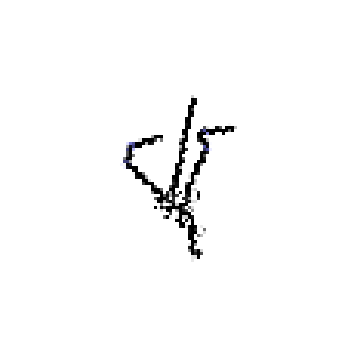 CCCCC/C=C\C/C=C\CCCCCCCC(=O)Nc1sc2c(c1C(=O)N(CCCCCCCCCCCCCCCCCC)C(=O)CCCCCCC/C=C\C/C=C\CCCCC)CCN(C(=O)CCCN(C)C)C2